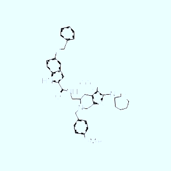 COc1ccc(CN2Cc3sc(NC4CCCCO4)c(C(=O)O)c3CC2CNC(=O)c2cc3cc(OCc4ccccc4)ccc3[nH]2)cc1